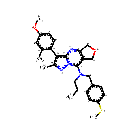 CCCN(Cc1ccc(SC)cc1)c1c2c(nc3c(-c4ccc(OC)cc4C)c(C)nn13)COC2